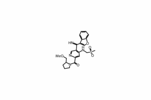 COCC1CCCN1C(=O)c1cc(NCS(C)(=O)=O)c(C(=N)c2coc3ccccc23)cn1